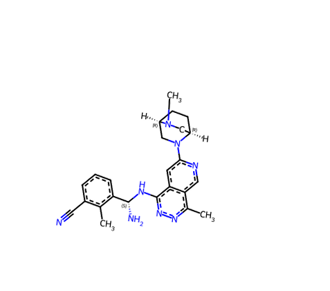 Cc1c(C#N)cccc1[C@@H](N)Nc1nnc(C)c2cnc(N3C[C@H]4CC[C@@H]3CN4C)cc12